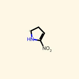 O=[N+]([O-])C1=CC[C]N1